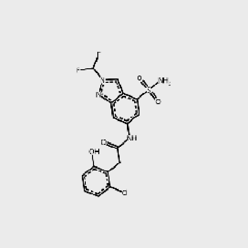 NS(=O)(=O)c1cc(NC(=O)Cc2c(O)cccc2Cl)cc2nn(C(F)F)cc12